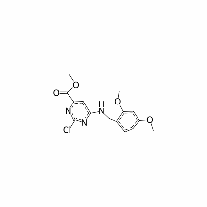 COC(=O)c1cc(NCc2ccc(OC)cc2OC)nc(Cl)n1